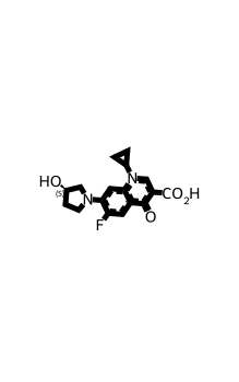 O=C(O)c1cn(C2CC2)c2cc(N3CC[C@H](O)C3)c(F)cc2c1=O